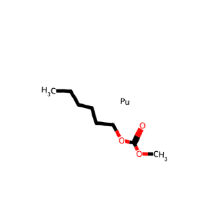 CCCCCCOC(=O)OC.[Pu]